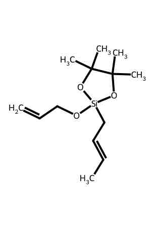 C=CCO[Si]1(C/C=C/C)OC(C)(C)C(C)(C)O1